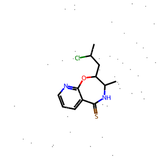 CC(Cl)CC1Oc2ncccc2C(=S)NC1C